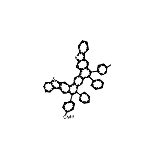 COc1ccc(-c2c(-c3ccccc3)c3cc4c(-c5ccccc5)c(-c5ccc(C)cc5)c5cc6c(cc5c4cc3c3cc4sc5ccccc5c4cc23)sc2ccccc26)cc1